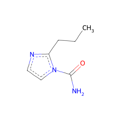 CCCc1nccn1C(N)=O